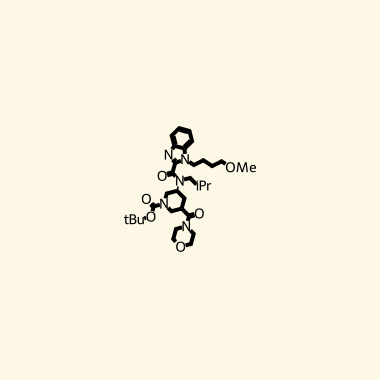 COCCCCn1c(C(=O)N(CC(C)C)[C@@H]2CC(C(=O)N3CCOCC3)CN(C(=O)OC(C)(C)C)C2)nc2ccccc21